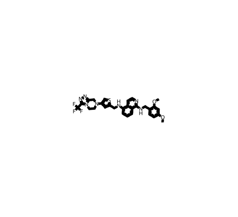 COc1ccc(CNc2nccc3c(NCc4cc(N5CCn6c(nnc6C(F)(F)F)C5)cs4)cccc23)c(OC)c1